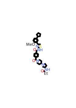 CCC(=O)NC1CCN(C2CCN(C(=O)c3ccc(C(=O)Nc4nc(-c5cc(C6CCCC6)ccc5OC)cs4)cc3)CC2)C1